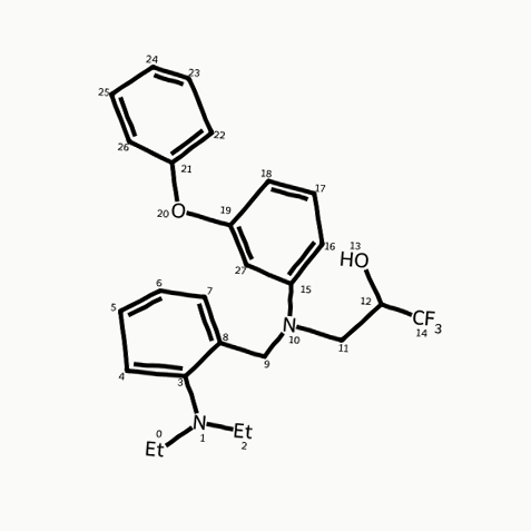 CCN(CC)c1ccccc1CN(CC(O)C(F)(F)F)c1cccc(Oc2ccccc2)c1